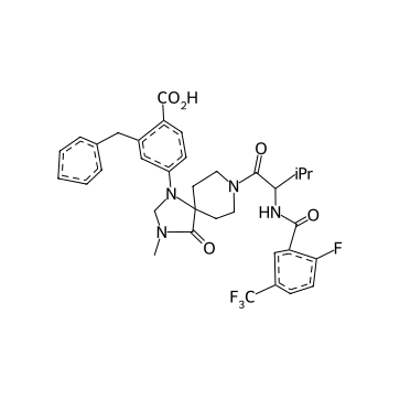 CC(C)C(NC(=O)c1cc(C(F)(F)F)ccc1F)C(=O)N1CCC2(CC1)C(=O)N(C)CN2c1ccc(C(=O)O)c(Cc2ccccc2)c1